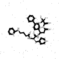 O=C(CCCNc1ccccn1)N[C@H](Cc1ccncc1)C(=O)NC(CC(=O)OC(=O)C(F)(F)F)c1ccc(-c2ccccc2)cc1